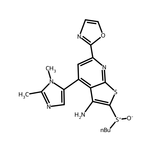 CCCC[S+]([O-])c1sc2nc(-c3ncco3)cc(-c3cnc(C)n3C)c2c1N